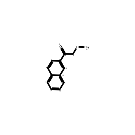 CCCOCC(=O)c1ccc2ccccc2c1